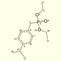 CCOP(=O)(Cc1ccc(C(C)C)cc1)OCC